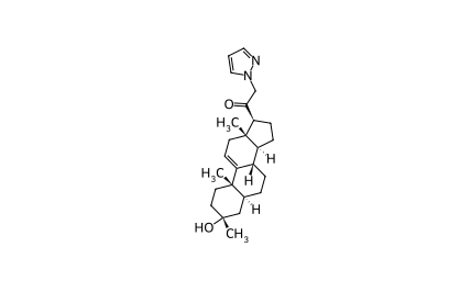 C[C@@]1(O)CC[C@]2(C)C3=CC[C@]4(C)[C@@H](C(=O)Cn5cccn5)CC[C@H]4[C@@H]3CC[C@H]2C1